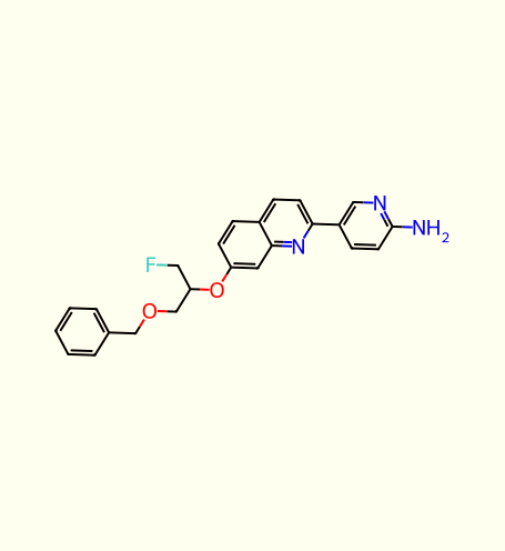 Nc1ccc(-c2ccc3ccc(OC(CF)COCc4ccccc4)cc3n2)cn1